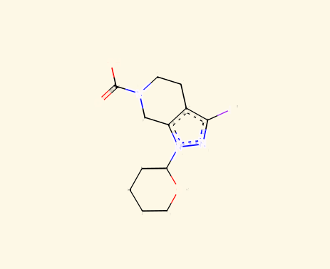 O=C(O)N1CCc2c(I)nn(C3CCCCO3)c2C1